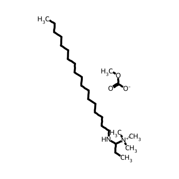 CCCCCCCCCCCCCCCCCCNC(CC)[N+](C)(C)C.COC(=O)[O-]